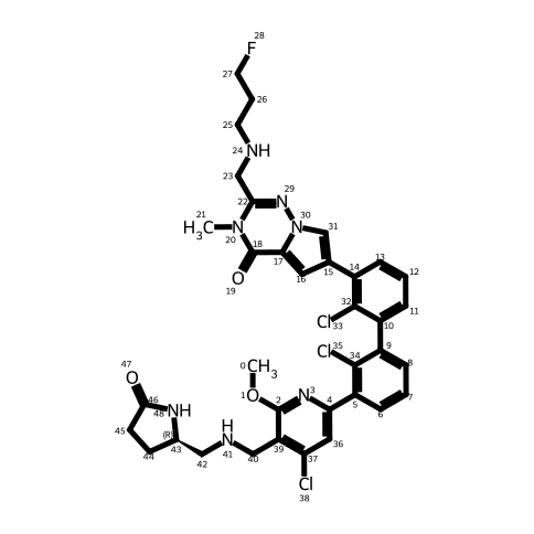 COc1nc(-c2cccc(-c3cccc(-c4cc5c(=O)n(C)c(CNCCCF)nn5c4)c3Cl)c2Cl)cc(Cl)c1CNC[C@H]1CCC(=O)N1